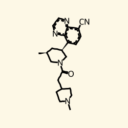 C[C@H]1C[C@@H](c2ccc(C#N)c3nccnc23)CN(C(=O)CC2CCN(C)CC2)C1